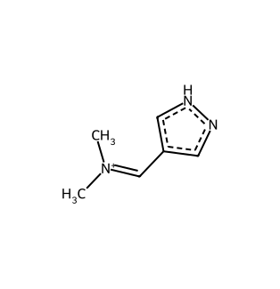 C[N+](C)=Cc1cn[nH]c1